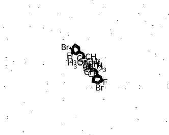 CC(C)(Cc1ccc(Br)c(F)c1)[Si](C)(C)O[Si](C)(C)C(C)(C)Cc1ccc(Br)c(F)c1